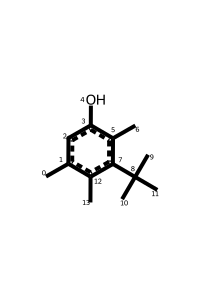 Cc1cc(O)c(C)c(C(C)(C)C)c1C